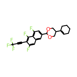 Fc1cc2cc(C3OCC(C4=CCCCC4)CO3)cc(F)c2c(F)c1C#CC(F)(F)F